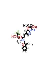 Cc1c(CN(C)C(=O)/C=C/c2cnc3c(c2)OC(C)(C)C(O)N3)oc2ccccc12.O=C(O)C(F)(F)F